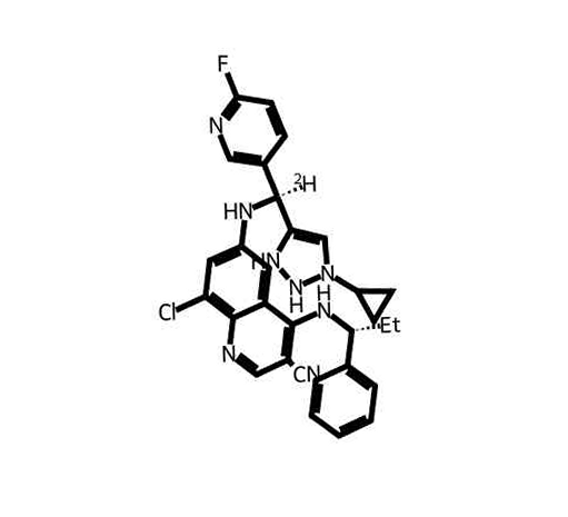 [2H][C@@](Nc1cc(Cl)c2ncc(C#N)c(N[C@H](CC)c3ccccc3)c2c1)(C1=CN(C2CC2)NN1)c1ccc(F)nc1